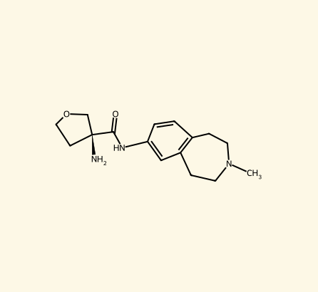 CN1CCc2ccc(NC(=O)[C@]3(N)CCOC3)cc2CC1